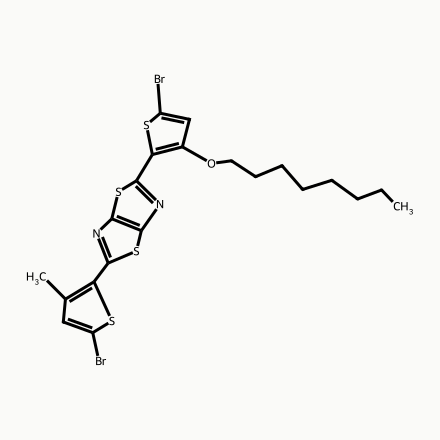 CCCCCCCCOc1cc(Br)sc1-c1nc2sc(-c3sc(Br)cc3C)nc2s1